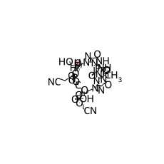 CC(C)C(=O)Nc1nc2c3ncn2C2C[C@H](OP(=O)(O)OCCC#N)C(COP(=O)(OCCCC#N)O[C@@H]4C(CO)OC([C@@H]4F)n4cnc5c(=O)[nH]c(nc54)NC(=O)C(C)n1c3=O)O2